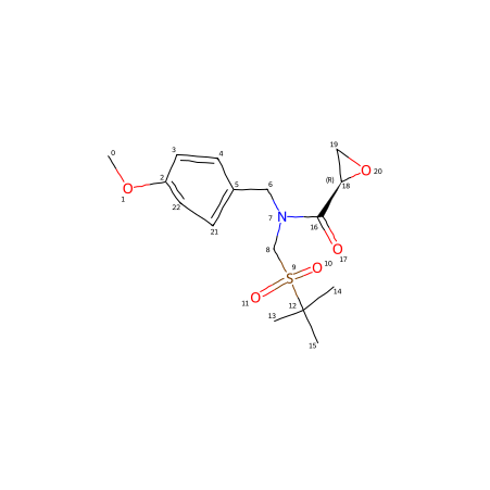 COc1ccc(CN(CS(=O)(=O)C(C)(C)C)C(=O)[C@H]2CO2)cc1